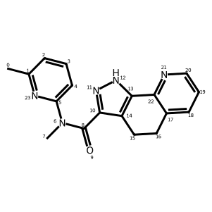 Cc1cccc(N(C)C(=O)c2n[nH]c3c2CCc2cccnc2-3)n1